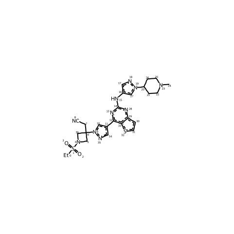 CCS(=O)(=O)N1CC(CC#N)(n2cc(-c3nc(Nc4cnn(C5CCN(C)CC5)c4)nc4ccsc34)cn2)C1